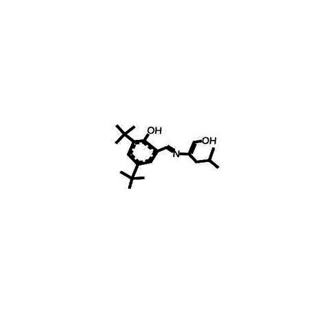 CC(C)CC(=CO)N=Cc1cc(C(C)(C)C)cc(C(C)(C)C)c1O